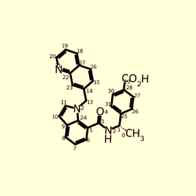 C[C@H](NC(=O)c1cccc2ccn(Cc3ccc4cccnc4c3)c12)c1ccc(C(=O)O)cc1